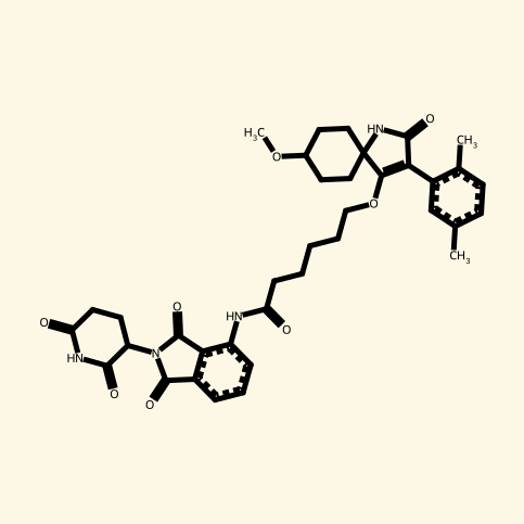 COC1CCC2(CC1)NC(=O)C(c1cc(C)ccc1C)=C2OCCCCCC(=O)Nc1cccc2c1C(=O)N(C1CCC(=O)NC1=O)C2=O